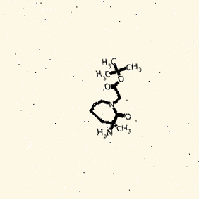 CC(C)(C)OC(=O)CN1CCCCC(C)(N)C1=O